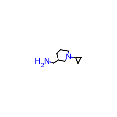 NCC1CCCN(C2CC2)C1